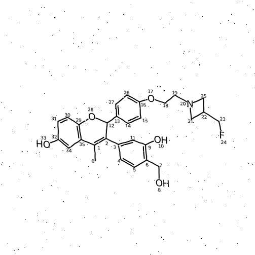 CC1=C(c2ccc(CO)c(O)c2)C(c2ccc(OCCN3CC(CF)C3)cc2)Oc2ccc(O)cc21